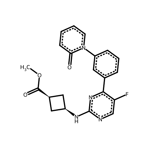 COC(=O)[C@H]1C[C@@H](Nc2ncc(F)c(-c3cccc(-n4ccccc4=O)c3)n2)C1